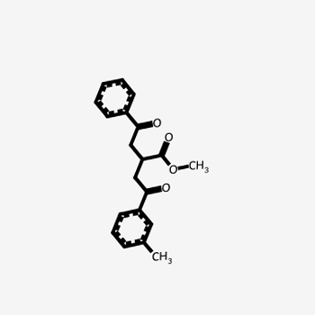 COC(=O)C(CC(=O)c1ccccc1)CC(=O)c1cccc(C)c1